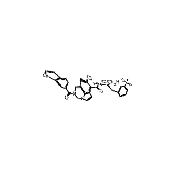 CS(=O)(=O)c1cccc(CC(NC(=O)c2c(Cl)cc3c4c2ccn4CN(C(=O)c2ccc4ccoc4c2)C3)C(=O)O)c1